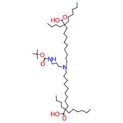 CCCCCCC(CCCC)(CCCCCCCCCN(CCCCCCCCCC(CCCC)(CCCCCC)C(=O)O)CCCNC(=O)OC(C)(C)C)C(=O)O